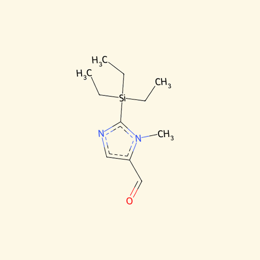 CC[Si](CC)(CC)c1ncc(C=O)n1C